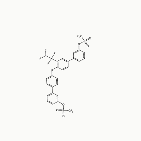 O=S(=O)(Oc1cccc(-c2ccc(Oc3ccc(-c4cccc(OS(=O)(=O)C(F)(F)F)c4)cc3C(F)(F)C(F)F)cc2)c1)C(F)(F)F